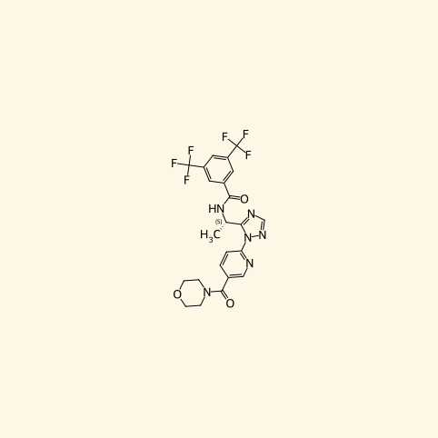 C[C@H](NC(=O)c1cc(C(F)(F)F)cc(C(F)(F)F)c1)c1ncnn1-c1ccc(C(=O)N2CCOCC2)cn1